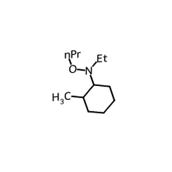 CCCON(CC)C1CCCCC1C